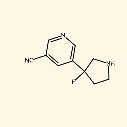 N#Cc1cncc(C2(F)CCNC2)c1